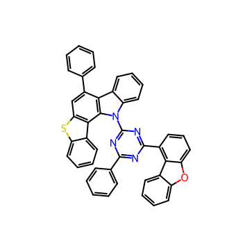 c1ccc(-c2nc(-c3cccc4oc5ccccc5c34)nc(-n3c4ccccc4c4c(-c5ccccc5)cc5sc6ccccc6c5c43)n2)cc1